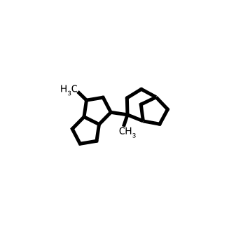 CC1CC(C2(C)CCC3CCC2C3)C2CCCC12